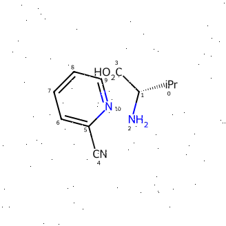 CC(C)[C@H](N)C(=O)O.N#Cc1ccccn1